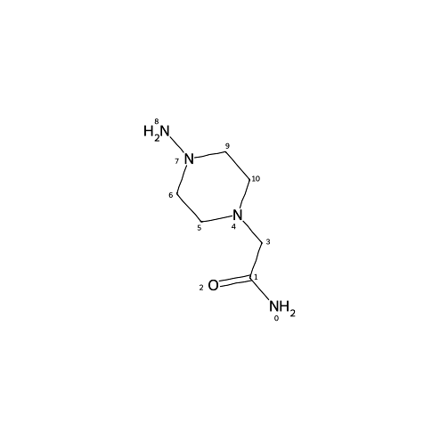 NC(=O)CN1CCN(N)CC1